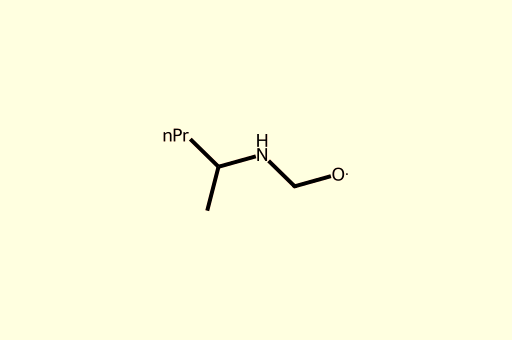 CCCC(C)NC[O]